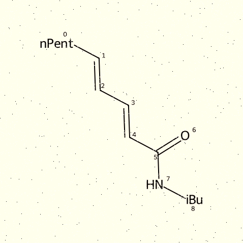 CCCCC/C=C/C=C/C(=O)NC(C)CC